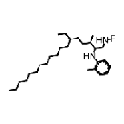 CCCCCCCCCCCCC(CC)CCC(C)C(CNF)Nc1ccccc1C